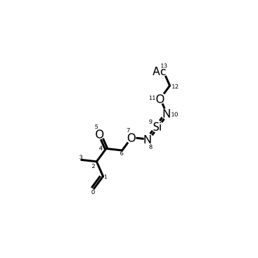 C=CC(C)C(=O)CON=[Si]=NOCC(C)=O